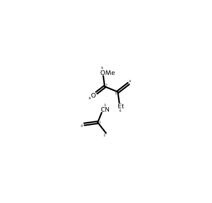 C=C(C)C#N.C=C(CC)C(=O)OC